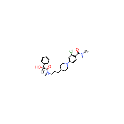 CC(C)N(C)C(=O)c1ccc(N2CCC(CCCN(C)C(=O)[C@](O)(c3ccccc3)C(F)(F)F)CC2)cc1Cl